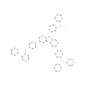 CC1(C)c2ccccc2-c2ccc(-n3c4ccc(-c5ccc(C(Cc6ccccc6)c6ccccc6)cc5)cc4c4cc(-c5ccc(N(c6ccccc6)c6ccccc6)cc5)ccc43)cc21